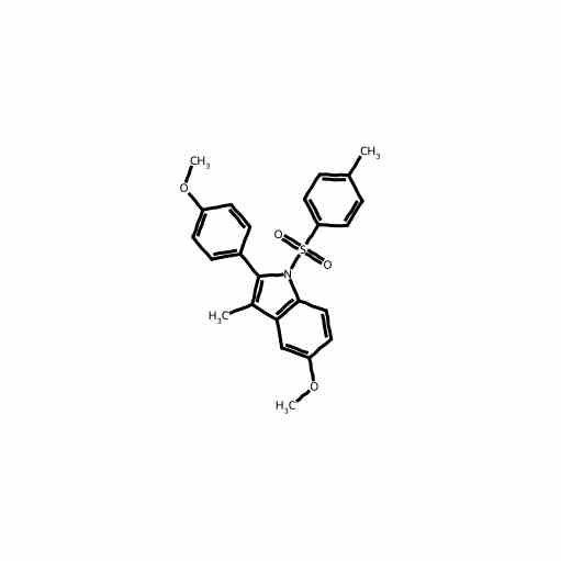 COc1ccc(-c2c(C)c3cc(OC)ccc3n2S(=O)(=O)c2ccc(C)cc2)cc1